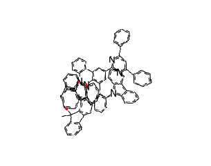 CC1(C)c2ccccc2-c2ccc3c(c21)c1ccccc1n3-c1c(-c2ccccc2-n2c3ccccc3c3ccccc32)cc(-c2nc(-c3ccccc3)cc(-c3ccccc3)n2)cc1-c1ccccc1-n1c2ccccc2c2ccccc21